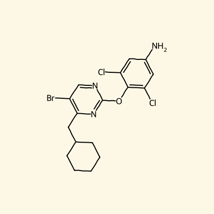 Nc1cc(Cl)c(Oc2ncc(Br)c(CC3CCCCC3)n2)c(Cl)c1